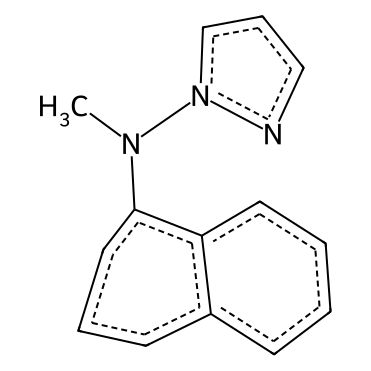 CN(c1cccc2ccccc12)n1cccn1